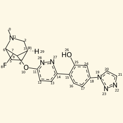 CN1C[C@H]2CCC1C(F)C2Oc1ccc(-c2ccc(-n3ccnn3)cc2O)nn1